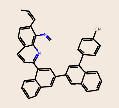 C=Nc1c(/C=C\C)ccc2ccc(-c3cc(-c4cc(-c5ccc(C#N)cc5)c5ccccc5c4)cc4ccccc34)nc12